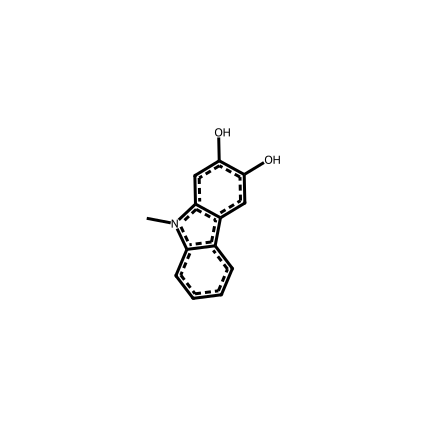 Cn1c2ccccc2c2cc(O)c(O)cc21